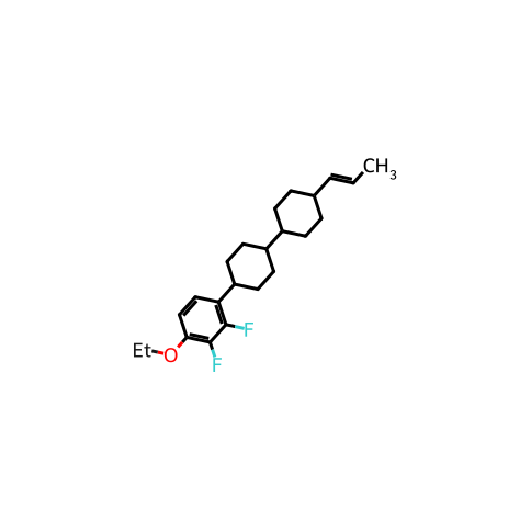 CC=CC1CCC(C2CCC(c3ccc(OCC)c(F)c3F)CC2)CC1